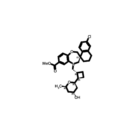 COC(=O)c1ccc2c(c1)N(C[C@@H]1CC[C@H]1[C@H]1C[C@H](O)C[C@@H](C)O1)C[C@@]1(CCCc3cc(Cl)ccc31)CO2